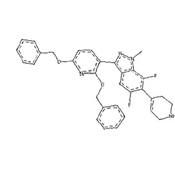 Cn1nc(-c2ccc(OCc3ccccc3)nc2OCc2ccccc2)c2cc(F)c(C3=CCNCC3)c(F)c21